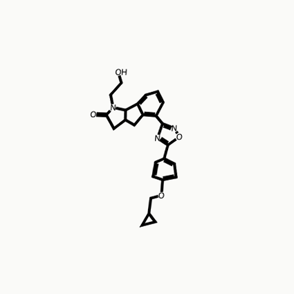 O=C1CC2Cc3c(-c4noc(-c5ccc(OCC6CC6)cc5)n4)cccc3C2N1CCO